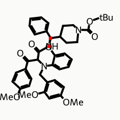 COc1ccc(C(=O)C(C(=O)NCC2CCN(C(=O)OC(C)(C)C)CC2)N(Cc2ccc(OC)cc2OC)c2ccccc2OCc2ccccc2)cc1